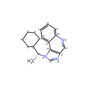 C[C@H](C1CCCCC1)n1cnc2cnc3ccccc3c21